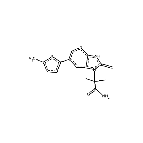 CC(C)(C(N)=O)n1c(=O)[nH]c2ncc(-c3ccc(C(F)(F)F)s3)cc21